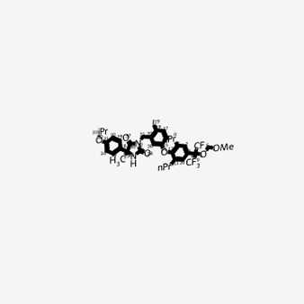 CCCc1cc(C(OCOC)(C(F)(F)F)C(F)(F)F)cc(CCC)c1Oc1ccc(I)c(CN2C(=O)NC(C)(c3ccc(OC(C)C)cc3)C2=O)c1